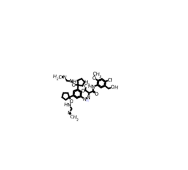 C=NCNOC1(c2cc(/N=N\C(C(C)=O)C(=O)Nc3cc(CO)c(Cl)cc3OC)cc(C3(ONCN=C)CCCC3)c2)CCCC1